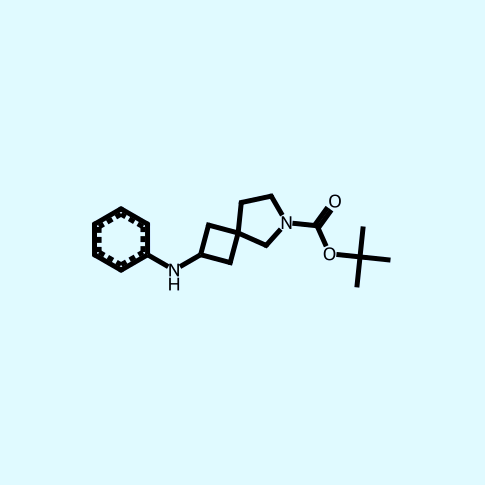 CC(C)(C)OC(=O)N1CCC2(CC(Nc3ccccc3)C2)C1